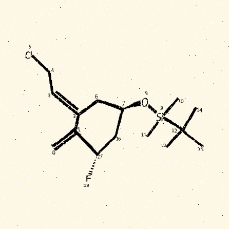 C=C1C(=CCCl)C[C@@H](O[Si](C)(C)C(C)(C)C)C[C@@H]1F